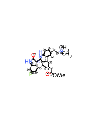 COC(=O)Cc1ccc(/C(Nc2ccc(CCN(C)C)cc2)=C2/C(=O)Nc3cc(F)ccc32)cc1